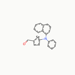 O=Cc1ccc(N(c2ccccc2)c2cccc3ccccc23)[se]1